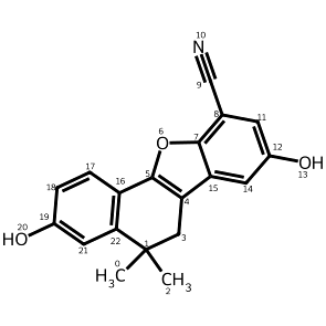 CC1(C)Cc2c(oc3c(C#N)cc(O)cc23)-c2ccc(O)cc21